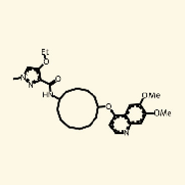 CCOc1cn(C)nc1C(=O)NC1CCCCCCC(Oc2ccnc3cc(OC)c(OC)cc23)CCCC1